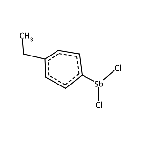 CCc1cc[c]([Sb]([Cl])[Cl])cc1